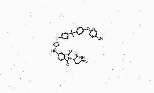 CC(C)(c1ccc(Oc2cnc(C#N)cn2)cc1)c1ccc(O[C@H]2C[C@H](Nc3ccc4c(c3)C(=O)N(C3CCC(=O)NC3=O)C4=O)C2)cc1